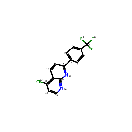 FC(F)(F)c1ccc(-c2ccc3c(Cl)ccnc3n2)cc1